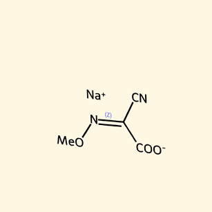 CO/N=C(/C#N)C(=O)[O-].[Na+]